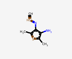 C#[SH]=Nc1c(C)sc(C)c1N